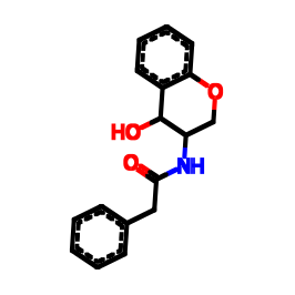 O=C(Cc1ccccc1)NC1COc2ccccc2C1O